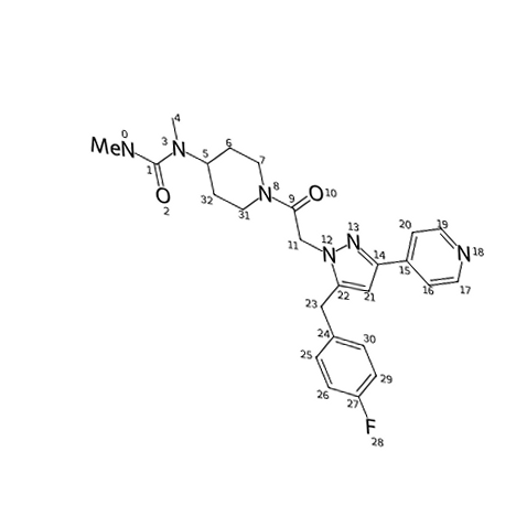 CNC(=O)N(C)C1CCN(C(=O)Cn2nc(-c3ccncc3)cc2Cc2ccc(F)cc2)CC1